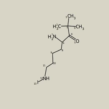 CC(C)(C)C(=O)C(N)CCCCNI